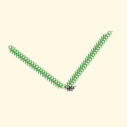 Cl.Cl.Cl.Cl.Cl.Cl.Cl.Cl.Cl.Cl.Cl.Cl.Cl.Cl.Cl.Cl.Cl.Cl.Cl.Cl.Cl.Cl.Cl.Cl.Cl.Cl.Cl.Cl.Cl.Cl.Cl.Cl.Cl.Cl.Cl.Cl.Cl.Cl.Cl.Cl.Cl.Cl.Cl.Cl.Cl.Cl.Cl.[Cl-].[Cl-].[Cl-].[Na+].[Na+].[Na+]